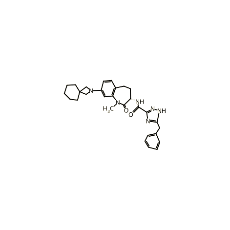 CN1C(=O)[C@@H](NC(=O)c2n[nH]c(Cc3ccccc3)n2)CCc2ccc(N3CC4(CCCCC4)C3)cc21